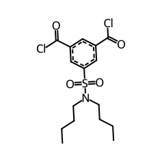 CCCCN(CCCC)S(=O)(=O)c1cc(C(=O)Cl)cc(C(=O)Cl)c1